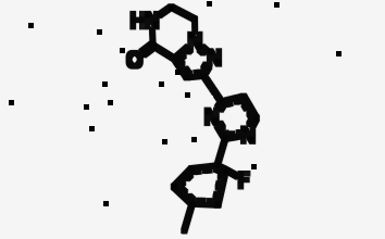 Cc1ccc(-c2nccc(-c3cc4n(n3)CCNC4=O)n2)c(F)c1